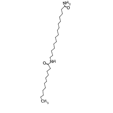 CCCCCCCCCCCC(=O)NCCCCCCCCCCCCCCCC(N)=O